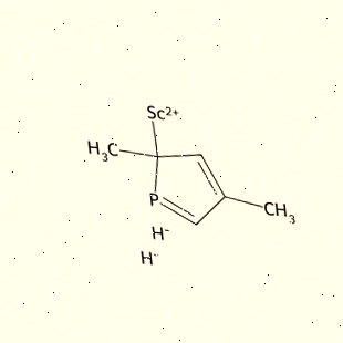 CC1=C[C](C)([Sc+2])P=C1.[H-].[H-]